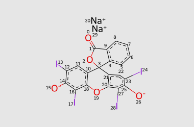 O=C1OC2(c3ccccc31)c1cc(I)c([O-])c(I)c1Oc1c2cc(I)c([O-])c1I.[Na+].[Na+]